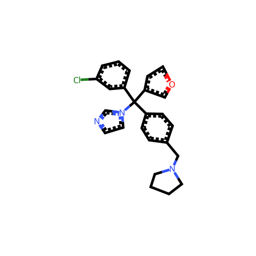 Clc1cccc(C(c2ccc(CN3CCCC3)cc2)(c2ccoc2)n2ccnc2)c1